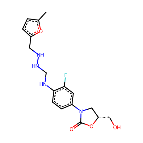 Cc1ccc(CNNCNc2ccc(N3C[C@H](CO)OC3=O)cc2F)o1